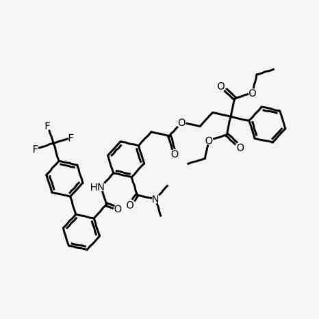 CCOC(=O)C(CCOC(=O)Cc1ccc(NC(=O)c2ccccc2-c2ccc(C(F)(F)F)cc2)c(C(=O)N(C)C)c1)(C(=O)OCC)c1ccccc1